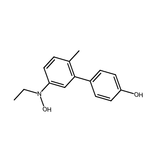 CCN(O)c1ccc(C)c(-c2ccc(O)cc2)c1